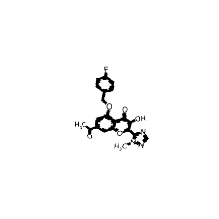 CC(=O)c1cc(OCc2ccc(F)cc2)c2c(=O)c(O)c(-c3ncnn3C)oc2c1